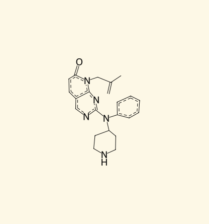 C=C(C)Cn1c(=O)ccc2cnc(N(c3ccccc3)C3CCNCC3)nc21